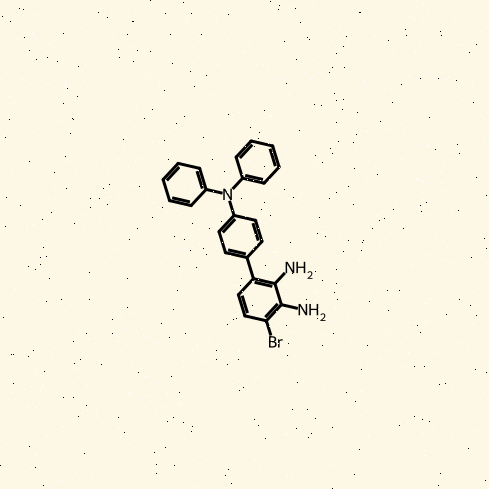 Nc1c(Br)ccc(-c2ccc(N(c3ccccc3)c3ccccc3)cc2)c1N